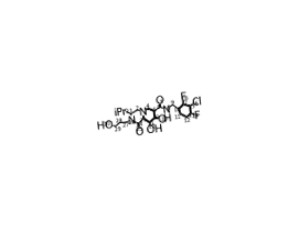 CC(C)C1Cn2cc(C(=O)NCc3ccc(F)c(Cl)c3F)c(=O)c(O)c2C(=O)N1CCCO